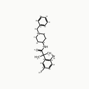 CC(C)(C(=O)NC1CCN(Cc2ccccc2)CC1)c1cc(F)ccc1Br